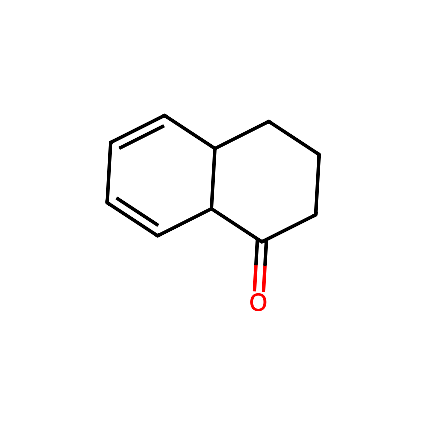 O=C1CCCC2C=CC=CC12